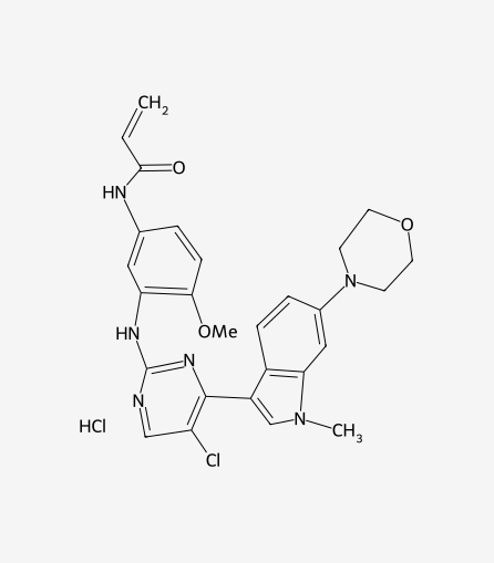 C=CC(=O)Nc1ccc(OC)c(Nc2ncc(Cl)c(-c3cn(C)c4cc(N5CCOCC5)ccc34)n2)c1.Cl